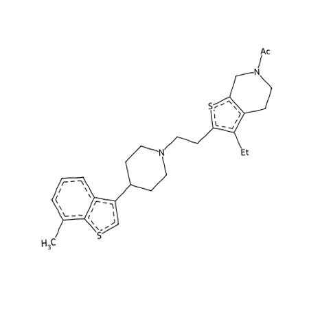 CCc1c(CCN2CCC(c3csc4c(C)cccc34)CC2)sc2c1CCN(C(C)=O)C2